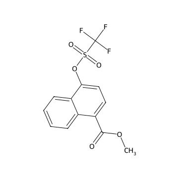 COC(=O)c1ccc(OS(=O)(=O)C(F)(F)F)c2ccccc12